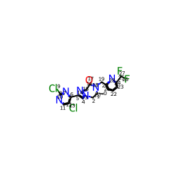 C[C@H]1Cn2cc(-c3nc(Cl)ncc3Cl)nc2C(=O)N1Cc1cccc(C(F)F)n1